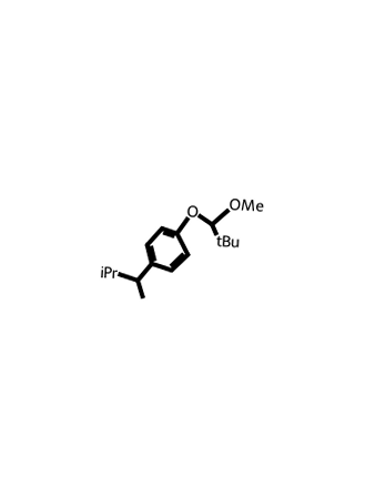 COC(Oc1ccc(C(C)C(C)C)cc1)C(C)(C)C